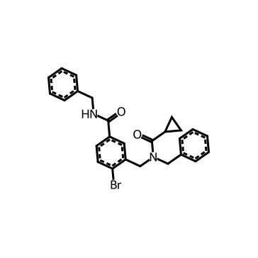 O=C(NCc1ccccc1)c1ccc(Br)c(CN(Cc2ccccc2)C(=O)C2CC2)c1